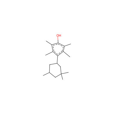 Cc1c(C)c(C2CC(C)CC(C)(C)C2)c(C)c(C)c1O